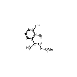 COCOC(C)c1cccc(F)c1Br